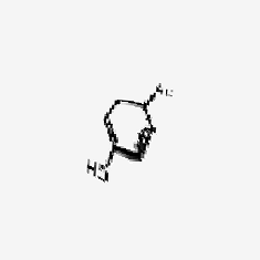 CC(=O)C1C=CC(O)=CC1